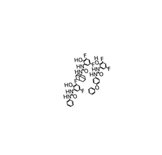 O=C(Nc1cc(F)cc(F)c1O)NC12CC3CC(CC(C3)C1)C2.O=C(Nc1ccc(Oc2ccccc2)cc1)Nc1cc(F)cc(F)c1O.O=C(Nc1ccccc1)Nc1cc(F)cc(F)c1O